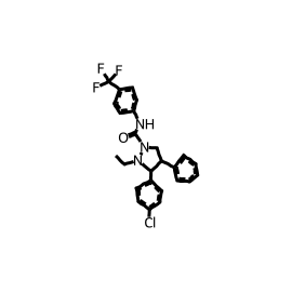 CCN1C(c2ccc(Cl)cc2)C(c2ccccc2)CN1C(=O)Nc1ccc(C(F)(F)F)cc1